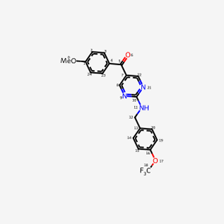 COc1ccc(C(=O)c2cnc(NCc3ccc(OC(F)(F)F)cc3)nc2)cc1